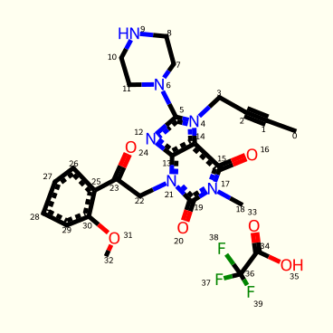 CC#CCn1c(N2CCNCC2)nc2c1c(=O)n(C)c(=O)n2CC(=O)c1ccccc1OC.O=C(O)C(F)(F)F